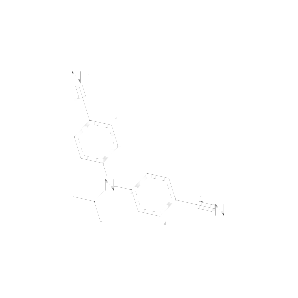 CC(C)N(c1ccc(C#N)cc1)c1ccc(C#N)cc1